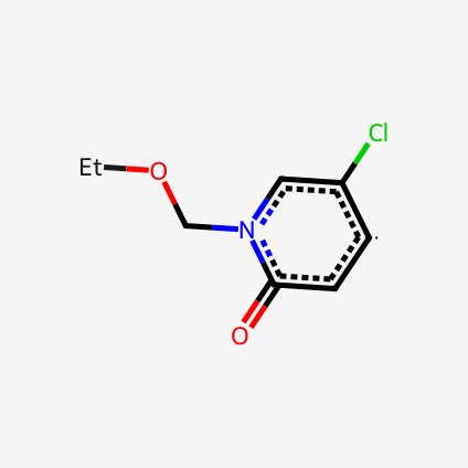 CCOCn1cc(Cl)[c]cc1=O